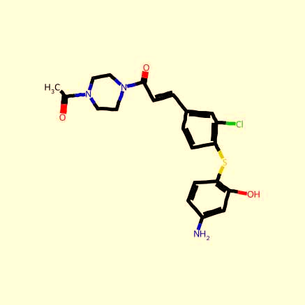 CC(=O)N1CCN(C(=O)C=Cc2ccc(Sc3ccc(N)cc3O)c(Cl)c2)CC1